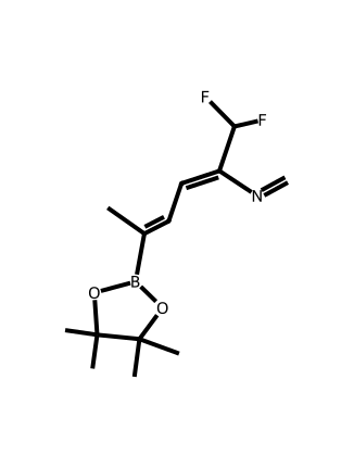 C=N/C(=C\C=C(/C)B1OC(C)(C)C(C)(C)O1)C(F)F